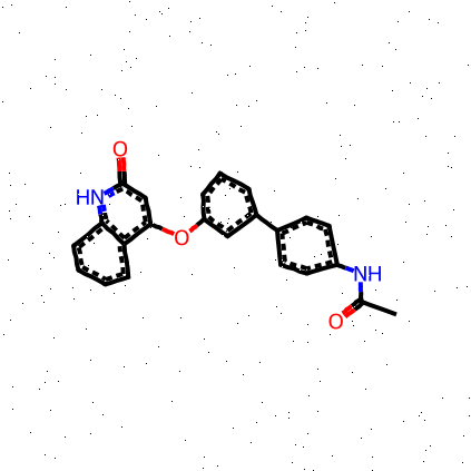 CC(=O)Nc1ccc(-c2cccc(Oc3cc(=O)[nH]c4ccccc34)c2)cc1